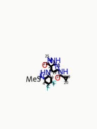 CSN(C)c1cc(F)c(F)cc1Nc1cc(NC(=O)C2CC2)nc2[nH]n(C)c(=O)c12